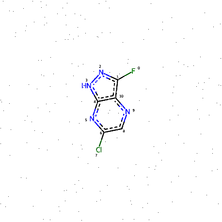 Fc1n[nH]c2nc(Cl)cnc12